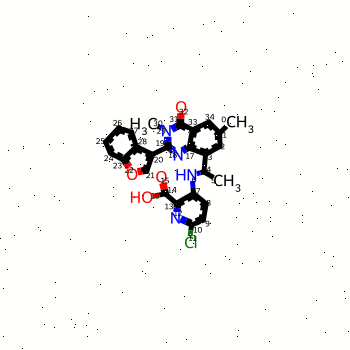 Cc1cc(C(C)Nc2ccc(Cl)nc2C(=O)O)c2nc(-c3coc4ccccc34)n(C)c(=O)c2c1